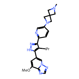 COc1cc(-c2[nH]nc(-c3ccc(N4CC5(CN(C)C5)C4)cn3)c2C(C)C)cn2ncnc12